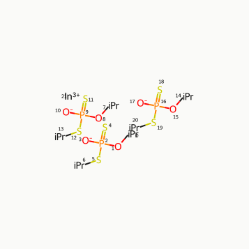 CC(C)OP([O-])(=S)SC(C)C.CC(C)OP([O-])(=S)SC(C)C.CC(C)OP([O-])(=S)SC(C)C.[In+3]